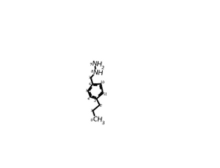 CCCc1ccc(CNN)cc1